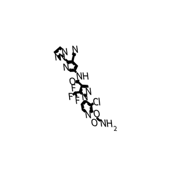 N#Cc1cc(NC(=O)c2cnn(-c3ccnc(OC(N)=O)c3Cl)c2C(F)(F)F)cnc1-n1nccn1